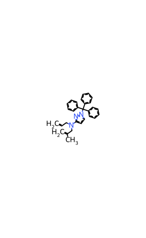 C=CCN(CC(=C)C)c1ccn(C(c2ccccc2)(c2ccccc2)c2ccccc2)n1